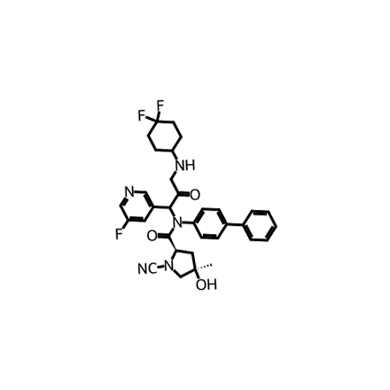 C[C@@]1(O)C[C@H](C(=O)N(c2ccc(-c3ccccc3)cc2)C(C(=O)CNC2CCC(F)(F)CC2)c2cncc(F)c2)N(C#N)C1